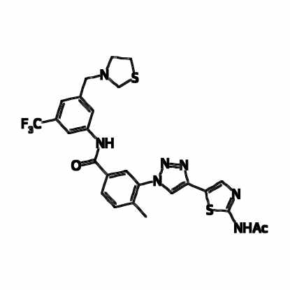 CC(=O)Nc1ncc(-c2cn(-c3cc(C(=O)Nc4cc(CN5CCSC5)cc(C(F)(F)F)c4)ccc3C)nn2)s1